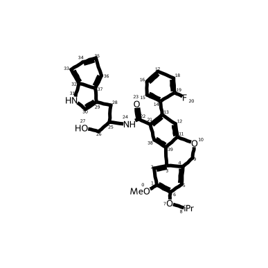 COc1cc2c(cc1OC(C)C)COc1cc(-c3ccccc3F)c(C(=O)NC(CO)Cc3c[nH]c4ccccc34)cc1-2